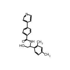 Cc1ccc(C(CO)NC(=O)c2ccc(-c3ccncc3)cc2)c(C)c1